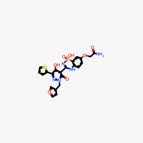 NC(=O)COc1ccc2c(c1)P(=O)(O)N=C(c1c(O)c(-c3cccs3)nn(Cc3ccoc3)c1=O)N2